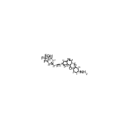 Nc1ccc(Oc2ccnc3cc(C#CCN4CCC(O)(C(F)(F)F)CC4)sc23)c(F)c1